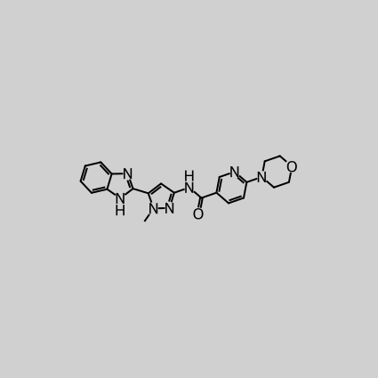 Cn1nc(NC(=O)c2ccc(N3CCOCC3)nc2)cc1-c1nc2ccccc2[nH]1